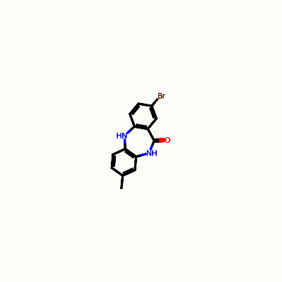 Cc1ccc2c(c1)NC(=O)c1cc(Br)ccc1N2